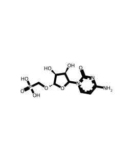 Nc1ccn(C2O[C@H](OCP(=O)(O)O)[C@@H](O)[C@H]2O)c(=O)n1